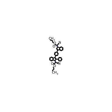 CCCCOC(=O)/C(C#N)=C1\C=C(c2ccc(C3=C(c4ccccc4)/C(=C(\C#N)C(=O)OCCCC)c4ccccc43)cc2)c2ccccc21